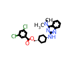 CN(C)c1nc(N[C@H]2CC[C@@H](COC(=O)c3cc(Cl)cc(Cl)c3)CC2)nc2ccccc12